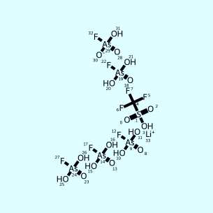 O=S(=O)(O)C(F)(F)F.O=[As](O)(O)F.O=[As](O)(O)F.O=[As](O)(O)F.O=[As](O)(O)F.O=[As]([O-])(O)F.[Li+]